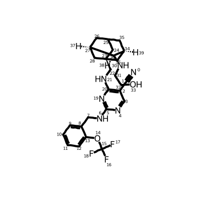 N#Cc1cnc(NCc2ccccc2OC(F)(F)F)nc1NC[C@]12CC3C[C@H](C1)[C@H](NCCO)[C@@H](C3)C2